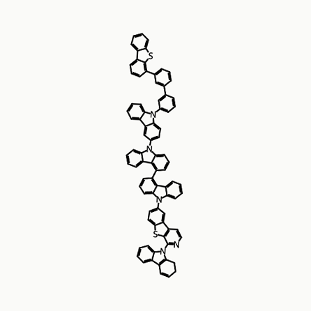 C1=Cc2c(n(-c3nccc4c3sc3ccc(-n5c6ccccc6c6c(-c7cccc8c7c7ccccc7n8-c7ccc8c(c7)c7ccccc7n8-c7cccc(-c8cccc(-c9cccc%10c9sc9ccccc9%10)c8)c7)cccc65)cc34)c3ccccc23)CC1